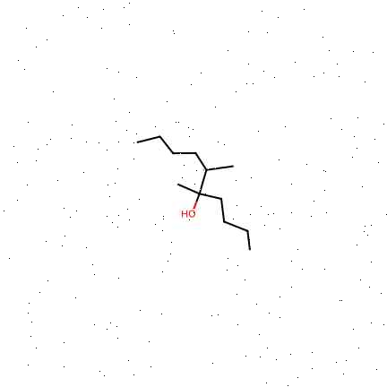 CCCC[C](C)C(C)(O)CCCC